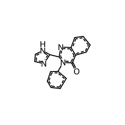 O=c1c2ccccc2nc(-c2ncc[nH]2)n1-c1ccccc1